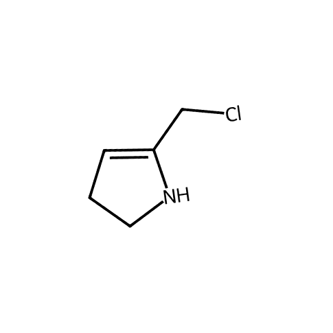 ClCC1=CCCN1